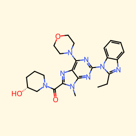 CCc1nc2ccccc2n1-c1nc(N2CCOCC2)c2nc(C(=O)N3CCC[C@@H](O)C3)n(C)c2n1